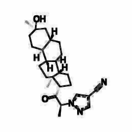 C[C@@H](C(=O)[C@H]1CC[C@H]2[C@@H]3CC[C@H]4C[C@](C)(O)CC[C@@H]4[C@H]3CC[C@]12C)n1cc(C#N)cn1